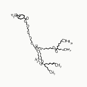 CCCCCCCCN(CCOCCOCCOCCOCCOC(=O)C1CCN(C)CC1)C(=O)C(COCCCCCCOC(=O)C(CCCC)CCCCCC)OCCCCCCOC(=O)C(CCCC)CCCCCC